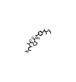 C/C=N\C(C)=C(/C)c1ccc(C(C)NC(=O)C2CCCN2C(=O)C(C)/C(C)=C/C(C)=N\C)cc1